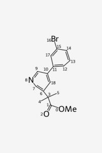 COC(=O)C(C)(C)c1cncc(-c2cccc(Br)c2)c1